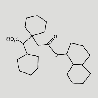 CCOC(=O)C(C1CCCCC1)C1(CC(=O)OC2CCCC3CCCCC32)CCCCC1